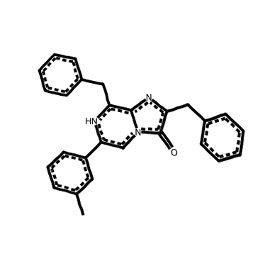 Cc1cccc(-c2cn3c(=O)c(Cc4ccccc4)nc-3c(Cc3ccccc3)[nH]2)c1